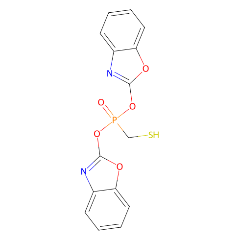 O=P(CS)(Oc1nc2ccccc2o1)Oc1nc2ccccc2o1